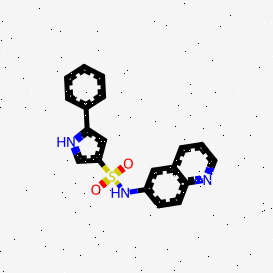 O=S(=O)(Nc1ccc2ncccc2c1)c1c[nH]c(-c2ccccc2)c1